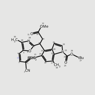 C=C(C#N)/C=C\c1oc(C(CC(=O)OC)c2c(OC)cc(C)c3c2ccn3C(=O)OC(C)(C)C)nc1C